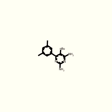 CCCCc1c(N)nc(N)nc1-c1cc(C)cc(C)c1